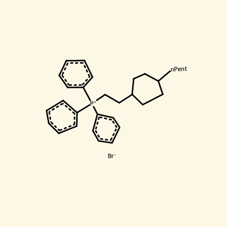 CCCCCC1CCC(CC[P+](c2ccccc2)(c2ccccc2)c2ccccc2)CC1.[Br-]